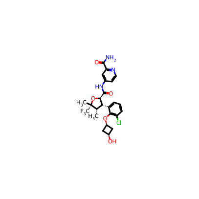 C[C@H]1[C@@H](c2cccc(Cl)c2O[C@H]2C[C@@H](O)C2)[C@H](C(=O)Nc2ccnc(C(N)=O)c2)O[C@@]1(C)C(F)(F)F